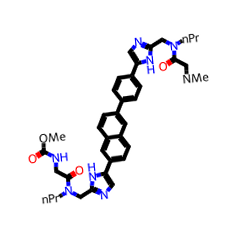 CCCN(Cc1ncc(-c2ccc(-c3ccc4cc(-c5cnc(CN(CCC)C(=O)CNC(=O)OC)[nH]5)ccc4c3)cc2)[nH]1)C(=O)CNC